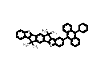 CC1(C)c2cc3c(cc2-c2oc4ccccc4c21)C(C)(C)c1c-3oc2ccc(-c3c4ccccc4c(C4C=CC=CC4)c4ccccc34)cc12